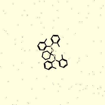 Cc1ccccc1P(OC1(OP(c2ccccc2C)c2ccccc2C)CCCCC1)c1ccccc1C